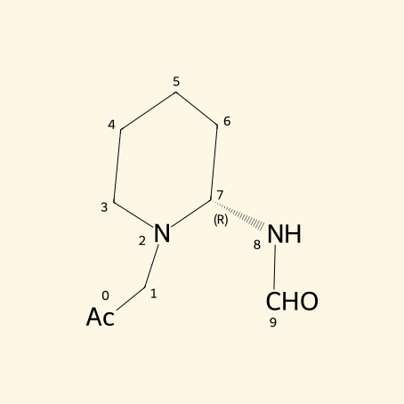 CC(=O)CN1CCCC[C@@H]1NC=O